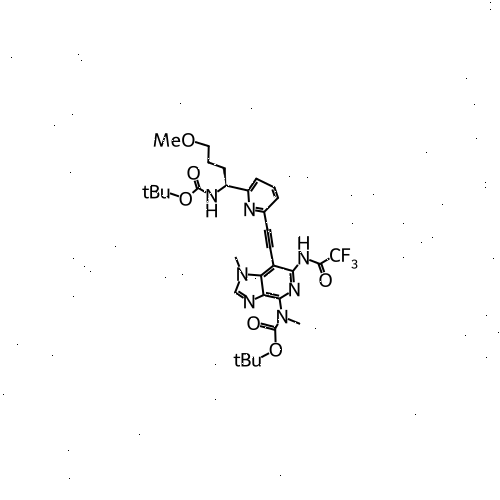 COCCC[C@H](NC(=O)OC(C)(C)C)c1cccc(C#Cc2c(NC(=O)C(F)(F)F)nc(N(C)C(=O)OC(C)(C)C)c3ncn(C)c23)n1